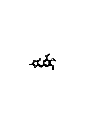 COc1cc(C=C2N=C(C)OC2=O)cc(OC)c1OC